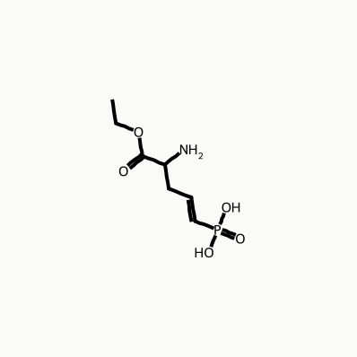 CCOC(=O)C(N)C/C=C/P(=O)(O)O